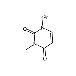 CCCn1ccc(=O)n(C)c1=O